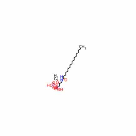 CCCCCCCCCCCCCCCCCC(=O)NCC(CP(=O)(O)OP(=O)(O)O)OCC